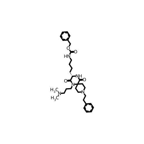 CN(C)CCCN1C(=O)[C@H](CCCCNC(=O)OCc2ccccc2)NC(=O)C12CCN(CCc1ccccc1)CC2